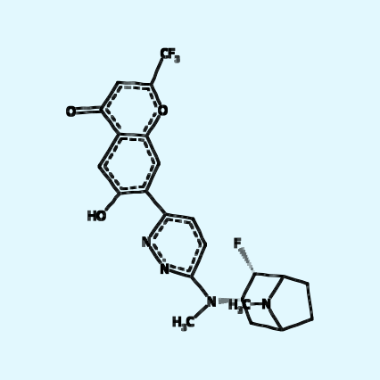 CN1C2CCC1[C@@H](F)[C@@H](N(C)c1ccc(-c3cc4oc(C(F)(F)F)cc(=O)c4cc3O)nn1)C2